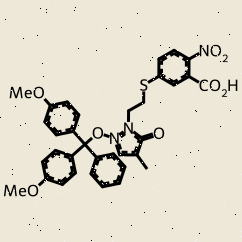 COc1ccc(C(On2cc(C)c(=O)n2CCSc2ccc([N+](=O)[O-])c(C(=O)O)c2)(c2ccccc2)c2ccc(OC)cc2)cc1